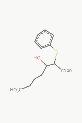 CCCCCCCCCC(Sc1ccccc1)C(O)CCCC(=O)O